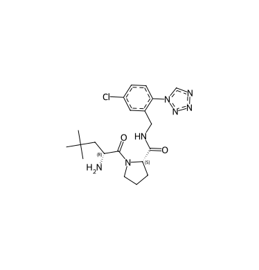 CC(C)(C)C[C@@H](N)C(=O)N1CCC[C@H]1C(=O)NCc1cc(Cl)ccc1-n1cnnn1